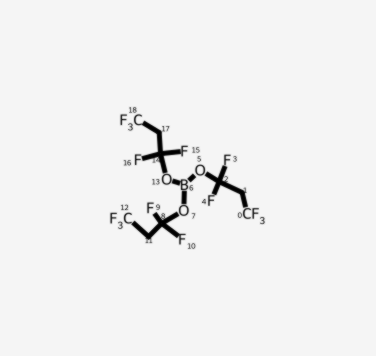 FC(F)(F)CC(F)(F)OB(OC(F)(F)CC(F)(F)F)OC(F)(F)CC(F)(F)F